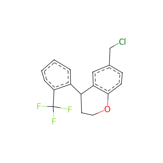 FC(F)(F)c1ccccc1C1CCOc2ccc(CCl)cc21